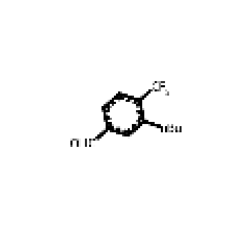 CCCCc1cc(C=O)ccc1C(F)(F)F